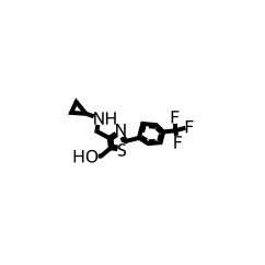 OCc1sc(-c2ccc(C(F)(F)F)cc2)nc1CNC1CC1